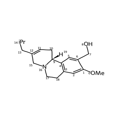 COc1cc2c(cc1CO)[C@H]1CC=C(CC(C)C)CN1CC2